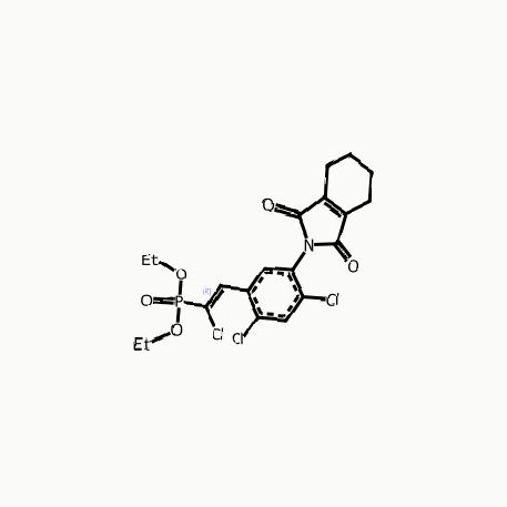 CCOP(=O)(OCC)/C(Cl)=C/c1cc(N2C(=O)C3=C(CCCC3)C2=O)c(Cl)cc1Cl